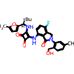 Cc1ccc(CO)c(N2Cc3c(F)ccc(Nc4c(N[C@@H](c5ccc(C)o5)C(C)(C)C)c(=O)c4=O)c3C2=O)c1